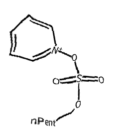 CCCCCOS(=O)(=O)O[n+]1ccccc1